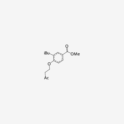 CCC(C)c1cc(C(=O)OC)ccc1OCCC(C)=O